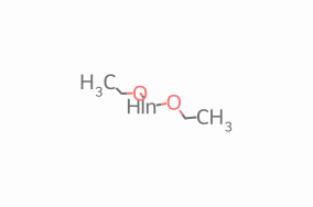 CC[O][InH][O]CC